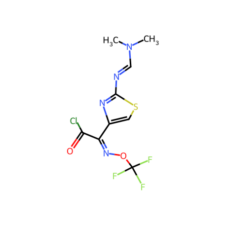 CN(C)/C=N/c1nc(/C(=N\OC(F)(F)F)C(=O)Cl)cs1